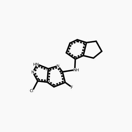 Fc1cc2c(Cl)n[nH]c2nc1Nc1cccc2c1CCC2